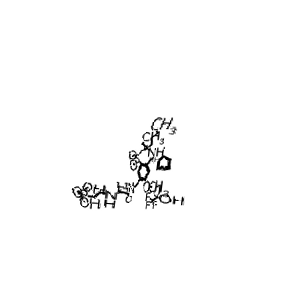 CCCC[C@]1(CC)CS(=O)(=O)c2cc(CNC(=O)CNCCP(=O)(O)O)c(OC)cc2[C@@H](c2ccccc2)N1.O=C(O)C(F)(F)F